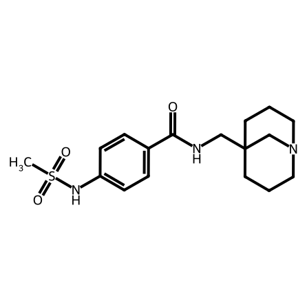 CS(=O)(=O)Nc1ccc(C(=O)NCC23CCCN(CCC2)C3)cc1